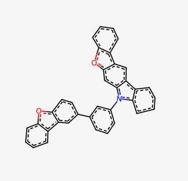 c1cc(-c2ccc3oc4ccccc4c3c2)cc(-n2c3ccccc3c3cc4c(cc32)oc2ccccc24)c1